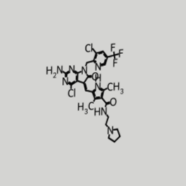 Cc1[nH]c(/C=C2\C(=O)N(Cc3ncc(C(F)(F)F)cc3Cl)c3nc(N)nc(Cl)c32)c(C)c1C(=O)NCCN1CCCC1